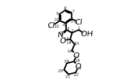 OCC1C(c2c(Cl)cccc2Cl)=NOC1CCOC1CCCCO1